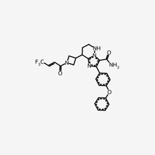 NC(=O)c1c(-c2ccc(Oc3ccccc3)cc2)nc2n1NCCC2C1CN(C(=O)C=CC(F)(F)F)C1